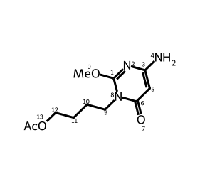 COc1nc(N)cc(=O)n1CCCCOC(C)=O